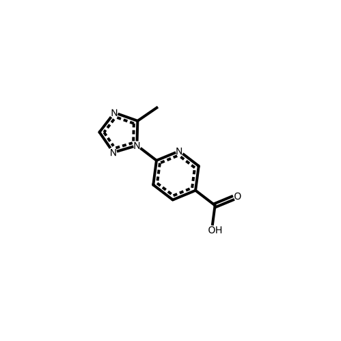 Cc1ncnn1-c1ccc(C(=O)O)cn1